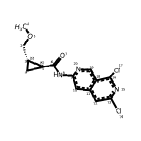 COC[C@H]1C[C@@H]1C(=O)Nc1cc2cc(Cl)nc(Cl)c2cn1